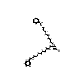 OC1CC(CCCCCCCCCOCc2ccccc2)(CCCCCCCCCOCc2ccccc2)C1